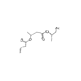 C=CCC(=O)OC(C)CC(=O)OC(C)CC(C)=O